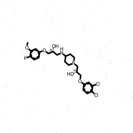 COc1cc(OC[C@H](O)CNC2CCN(C[C@@H](O)COc3ccc(Cl)c(Cl)c3)CC2)ccc1F